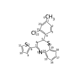 Cc1ccc(C2CC(c3cccs3)=Nc3ccccc3S2)c(Cl)c1